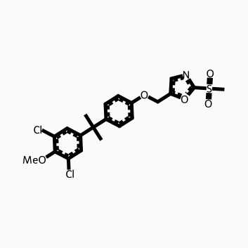 COc1c(Cl)cc(C(C)(C)c2ccc(OCc3cnc(S(C)(=O)=O)o3)cc2)cc1Cl